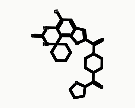 O=C1Nc2c(Cl)cc3cc(C(=O)N4CCN(C(=O)C5CCCO5)CC4)oc3c2C2(CCCCC2)N1